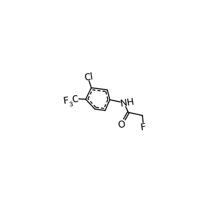 O=C(CF)Nc1ccc(C(F)(F)F)c(Cl)c1